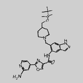 CC(C)(C)[Si](C)(C)OCC1CCN(Cc2cc3[nH]ncc3cc2NC(=O)c2coc(-c3ccnc(N)c3)n2)CC1